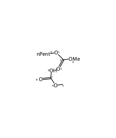 CCCCCOC(=O)OC.COC(=O)O